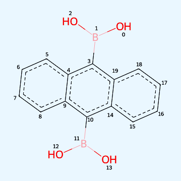 OB(O)c1c2ccccc2c(B(O)O)c2ccccc12